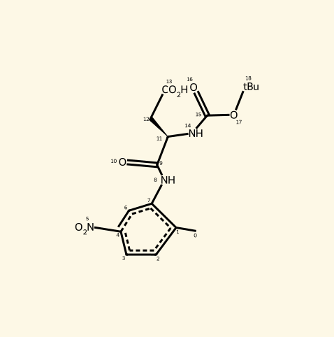 Cc1ccc([N+](=O)[O-])cc1NC(=O)[C@@H](CC(=O)O)NC(=O)OC(C)(C)C